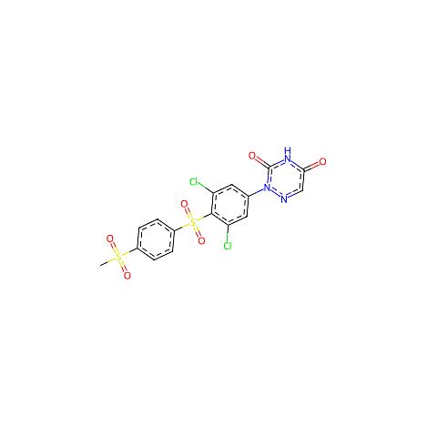 CS(=O)(=O)c1ccc(S(=O)(=O)c2c(Cl)cc(-n3ncc(=O)[nH]c3=O)cc2Cl)cc1